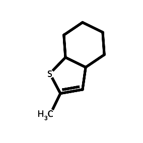 CC1=CC2CCCCC2S1